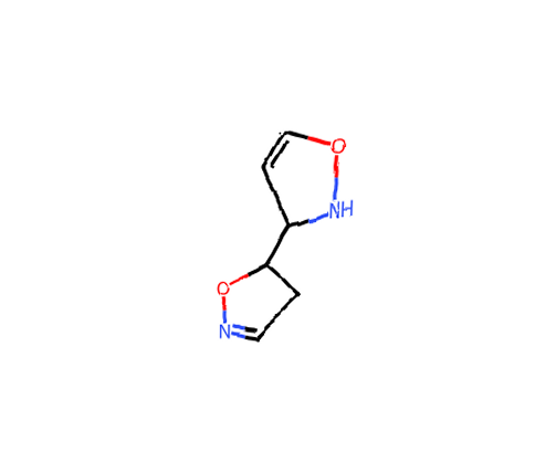 [C]1=CC(C2CC=NO2)NO1